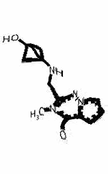 Cn1c(CNC23CC(O)(C2)C3)nn2cccc2c1=O